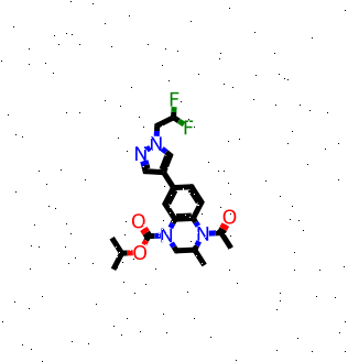 CC(=O)N1c2ccc(-c3cnn(CC(F)F)c3)cc2N(C(=O)OC(C)C)CC1C